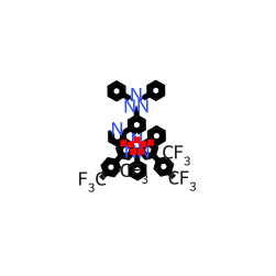 FC(F)(F)c1ccc(-c2ccc3c(c2)c2cc(-c4ccc(C(F)(F)F)cc4C(F)(F)F)ccc2n3-c2ccc(-c3nc(-c4ccccc4)nc(-c4ccccc4)n3)cc2-c2ncccc2-c2nc(-c3ccccc3)nc(-c3ccccc3)n2)c(C(F)(F)F)c1